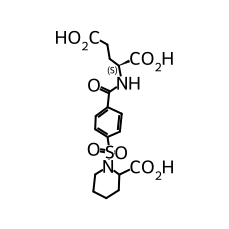 O=C(O)CC[C@H](NC(=O)c1ccc(S(=O)(=O)N2CCCCC2C(=O)O)cc1)C(=O)O